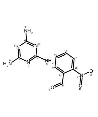 Nc1nc(N)nc(N)n1.O=Cc1ccccc1[N+](=O)[O-]